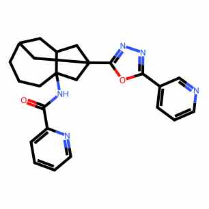 O=C(NC12CCCC3CC1CC(c1nnc(-c4cccnc4)o1)(C3)C2)c1ccccn1